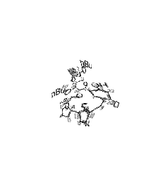 CCCCOC[C@H]1O[C@@H](c2cc(Cc3ncc(C4=CCCO4)s3)c(Cl)cc2O)[C@H](OCCCC)[C@@H](OCCCC)[C@@H]1OCCCC